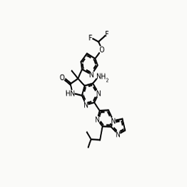 CC(C)Cc1nc(-c2nc(N)c3c(n2)NC(=O)C3(C)c2ccc(OC(F)F)cn2)cn2ccnc12